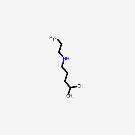 CCCNCCCC(C)C